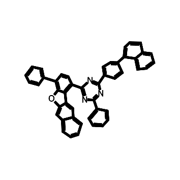 c1ccc(-c2nc(-c3ccc(-c4cccc5ccccc45)cc3)nc(-c3ccc(-c4ccccc4)c4oc5cc6ccccc6cc5c34)n2)cc1